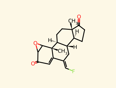 C[C@]12CC[C@H]3[C@@H](CC(=CF)C4=CC(=O)C5OC5[C@@]43C)[C@@H]1CCC2=O